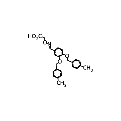 Cc1ccc(COc2ccc(C=NOCC(=O)O)cc2OCc2ccc(C)cc2)cc1